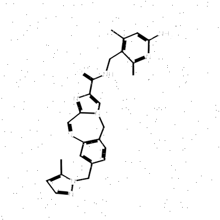 Cc1cc(N)nc(C)c1CNC(=O)c1cn2c(n1)C=Nc1cc(Cn3nccc3C)ccc1C2